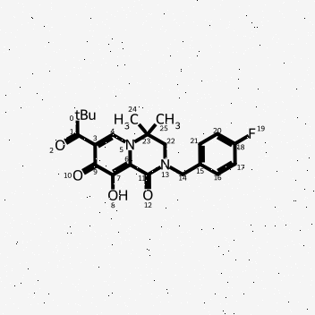 CC(C)(C)C(=O)c1cn2c(c(O)c1=O)C(=O)N(Cc1ccc(F)cc1)CC2(C)C